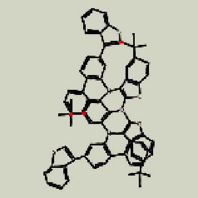 CC(C)(C)c1cc2c3c(c1)N(c1cc(-c4csc5ccccc45)ccc1-c1ccccc1)c1c(oc4ccc(C(C)(C)C)cc14)B3c1oc3ccc(C(C)(C)C)cc3c1N2c1cc(-c2csc3ccccc23)ccc1-c1ccccc1